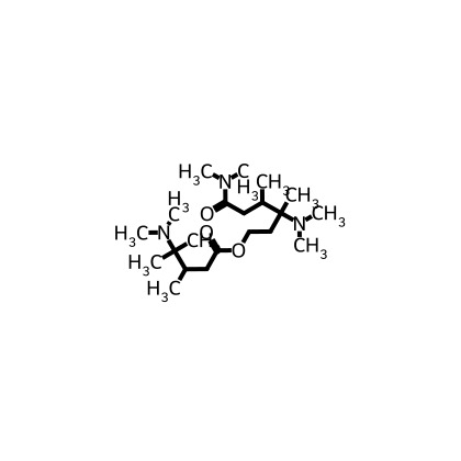 CC(CC(=O)OCCC(C)(C(C)CC(=O)N(C)C)N(C)C)C(C)(C)N(C)C